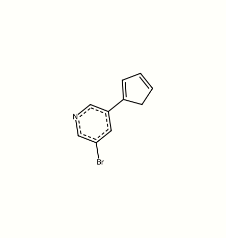 Brc1cncc(C2=CC=CC2)c1